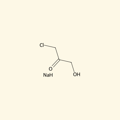 O=C(CO)CCl.[NaH]